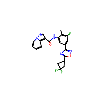 Cc1c(F)cc(-c2noc(C3CC(F)(F)C3)n2)cc1NC(=O)c1cnn2ccccc12